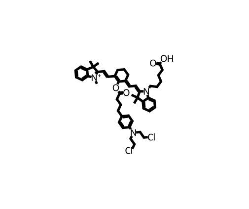 C[N+]1=C(C=CC2=C(OC(=O)CCCc3ccc(N(CCCl)CCCl)cc3)C(=CC=C3N(CCCCCC(=O)O)c4ccccc4C3(C)C)CCC2)C(C)(C)c2ccccc21